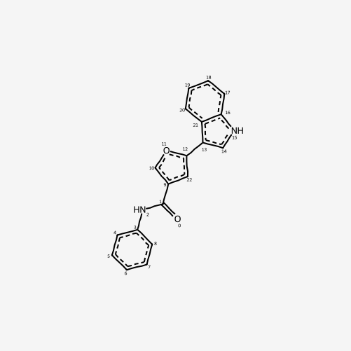 O=C(Nc1ccccc1)c1coc(-c2c[nH]c3ccccc23)c1